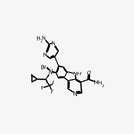 NC(=O)c1cncc2c1[nH]c1cc(-c3cnc(N)nc3)c(N(Br)[C@H](C3CC3)C(F)(F)F)cc12